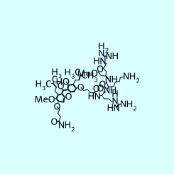 COC(=O)CC(CCCNC(=N)N)NC(=O)[C@@H](CCCCN)NC(=O)[C@@H](CCCNC(=N)N)NC(=O)CCCOc1cc2oc3cc(OCCCC(N)=O)c(OC)c(CC=C(C)C)c3c(=O)c2c(O)c1CC=C(C)C